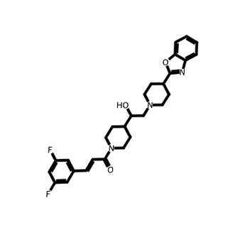 O=C(C=Cc1cc(F)cc(F)c1)N1CCC(C(O)CN2CCC(c3nc4ccccc4o3)CC2)CC1